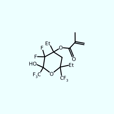 C=C(C)C(=O)OC1(CC)CC(CC)(C(F)(F)F)OC(O)(C(F)(F)F)C1(F)F